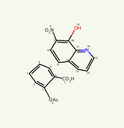 CC(=O)Oc1ccccc1C(=O)O.O=[N+]([O-])c1ccc2cccnc2c1O